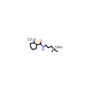 CO[Si](C)(C)CCCNC(=O)C1CCCCC1C(=O)O